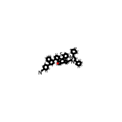 N#Cc1ccc(-c2ccc(-c3ccc4c(c3)C3(c5ccccc5S4)c4ccccc4-c4ccc(-c5nc(-c6ccccc6)cc(-c6ccccc6)n5)cc43)c3ccccc23)cc1